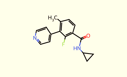 Cc1ccc(C(=O)NC2CC2)c(F)c1-c1ccncc1